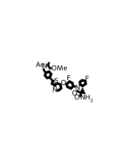 COCC(C)N(Cc1ccc(-c2cc3nccc(Oc4ccc(N(C(=O)C5(C(N)=O)CC5)c5ccc(F)cc5)cc4F)c3s2)cc1)C(C)=O